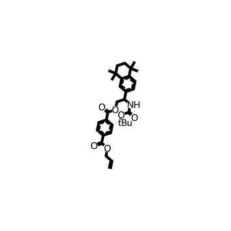 C=CCOC(=O)c1ccc(C(=O)OCC(NC(=O)OC(C)(C)C)c2ccc3c(c2)C(C)(C)CCC3(C)C)cc1